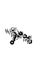 CC(C)(C)OC(=O)CC(NC(=O)OCc1ccccc1)n1cnc2c(N3CCC(C(=O)NC4=NCCCN4)CC3)ncnc21